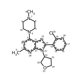 Cc1nc(N2CCN(C)CC2)c2nc(-c3cccnc3Cl)n(C3CCOC3)c2n1